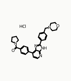 Cl.O=C(c1ccc(-c2ccnc3[nH]c(-c4ccc(CN5CCOCC5)cc4)nc23)cc1)N1CCCC1